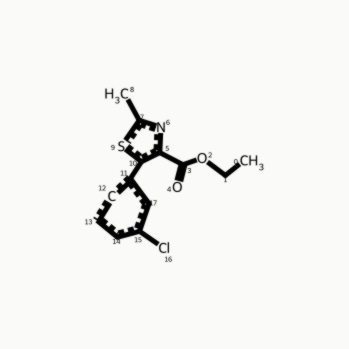 CCOC(=O)c1nc(C)sc1-c1cccc(Cl)c1